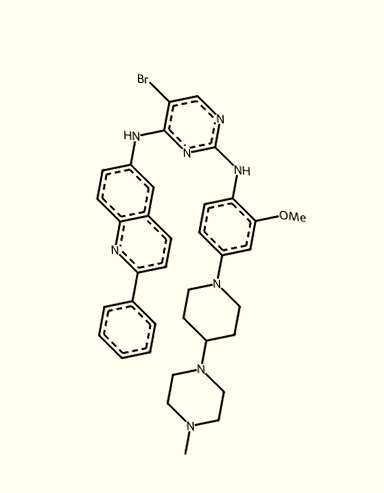 COc1cc(N2CCC(N3CCN(C)CC3)CC2)ccc1Nc1ncc(Br)c(Nc2ccc3nc(-c4ccccc4)ccc3c2)n1